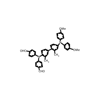 COc1ccc(N(c2ccc(OC)cc2)c2ccc(-c3ccc(N(c4ccc(C=O)cc4)c4ccc(C=O)cc4)c(C)c3)c(C)c2)cc1